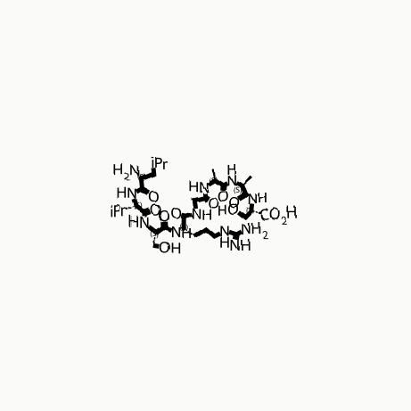 CC(C)C[C@H](N)C(=O)N[C@H](C(=O)N[C@@H](CO)C(=O)N[C@@H](CCCNC(=N)N)C(=O)NCC(=O)N[C@@H](C)C(=O)N[C@@H](C)C(=O)N[C@@H](CO)C(=O)O)C(C)C